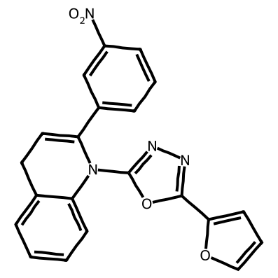 O=[N+]([O-])c1cccc(C2=CCc3ccccc3N2c2nnc(-c3ccco3)o2)c1